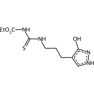 CCOC(=O)NC(=S)NCCCc1c[nH]nc1O